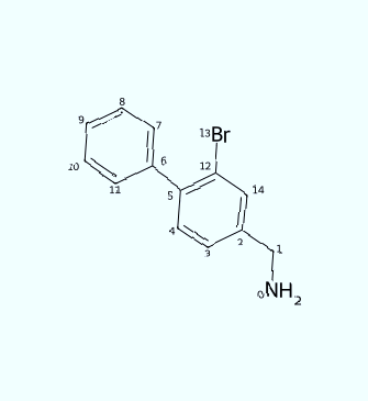 NCc1ccc(-c2c[c]ccc2)c(Br)c1